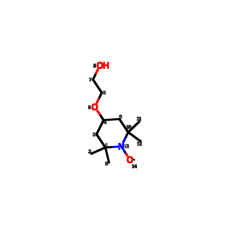 CC1(C)CC(OCCO)CC(C)(C)N1[O]